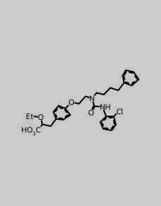 CCOC(Cc1ccc(OCCN(CCCCc2ccccc2)C(=O)Nc2ccccc2Cl)cc1)C(=O)O